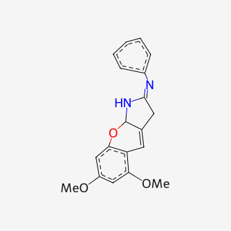 COc1cc(OC)c2c(c1)OC1N/C(=N\c3ccccc3)CC1=C2